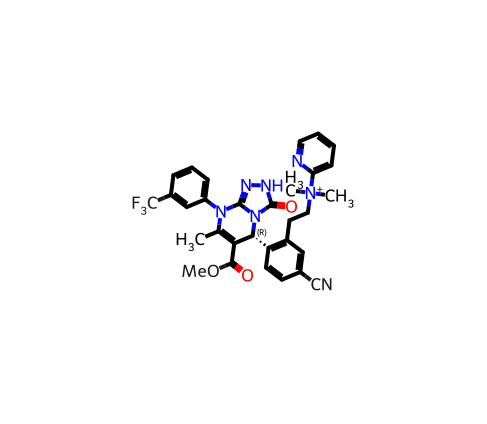 COC(=O)C1=C(C)N(c2cccc(C(F)(F)F)c2)c2n[nH]c(=O)n2[C@@H]1c1ccc(C#N)cc1CC[N+](C)(C)c1ccccn1